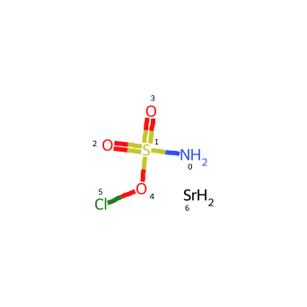 NS(=O)(=O)OCl.[SrH2]